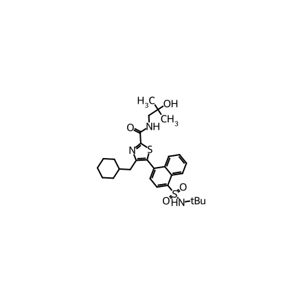 CC(C)(O)CNC(=O)c1nc(CC2CCCCC2)c(-c2ccc(S(=O)(=O)NC(C)(C)C)c3ccccc23)s1